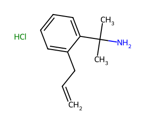 C=CCc1ccccc1C(C)(C)N.Cl